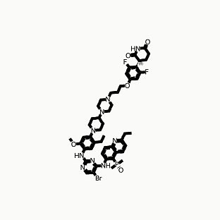 CCc1ccc2c(P(C)(C)=O)c(Nc3nc(Nc4cc(CC)c(N5CCC(N6CCN(CCCOc7cc(F)c([C@H]8CCC(=O)NC8=O)c(F)c7)CC6)CC5)cc4OC)ncc3Br)ccc2n1